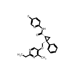 CCc1ncc(OC[C@@]2(c3ccccc3)C[C@H]2C(=O)Nc2ccc(F)cn2)c(C)n1